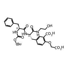 CC(C)(C)OC(=O)N[C@@H](Cc1ccccc1)C(=O)N[C@@H](Cc1ccc(OCC(=O)O)c(C(=O)O)c1)C(=O)NCCO